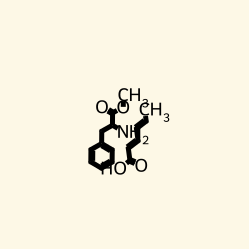 C/C=C/C=C/C(=O)O.COC(=O)C(N)Cc1ccccc1